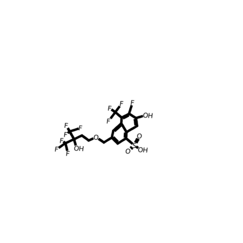 O=S(=O)(O)c1cc(COCCC(O)(C(F)(F)F)C(F)(F)F)cc2c(C(F)(F)F)c(F)c(O)cc12